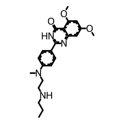 CCCNCCN(C)c1ccc(-c2nc3cc(OC)cc(OC)c3c(=O)[nH]2)cc1